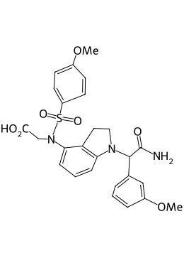 COc1ccc(S(=O)(=O)N(CC(=O)O)c2cccc3c2CCN3C(C(N)=O)c2cccc(OC)c2)cc1